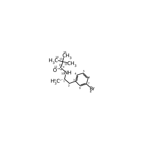 C[C@@H](Cc1cccc(Br)c1)N[S+]([O-])C(C)(C)C